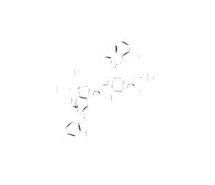 C[C@@H]1CN(CC(=O)N2CC(C)(C)c3nnc(Cc4ccc(F)cc4F)cc32)[C@@H](CN2Cc3c(O)cccc3C2=O)CN1C(=O)OC(C)(C)C